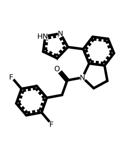 O=C(Cc1cc(F)ccc1F)N1CCc2cccc(-c3[c]c[nH]n3)c21